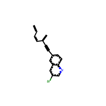 C=C/C=C\C(=C)C#Cc1ccc2ncc(Br)cc2c1